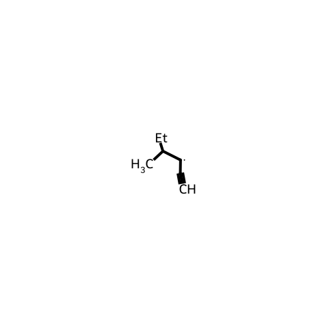 C#C[CH]C(C)CC